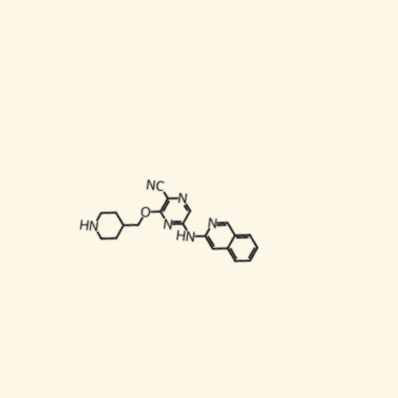 N#Cc1ncc(Nc2cc3ccccc3cn2)nc1OCC1CCNCC1